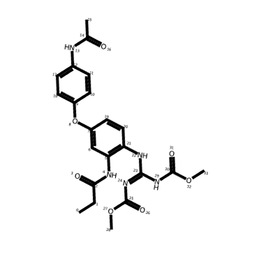 CCC(=O)Nc1cc(Oc2ccc(NC(C)=O)cc2)ccc1NC(=NC(=O)OC)NC(=O)OC